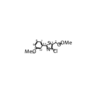 COOCc1sc(-c2cccc(OC)c2)nc1Cl